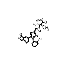 CCn1ncc2ccc(-c3cc(COC(C)(C)C(=O)OC)nn3-c3ccccc3Cl)cc21